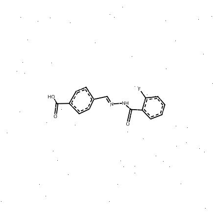 O=C(O)c1ccc(C=NNC(=O)c2ccccc2F)cc1